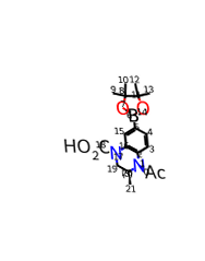 CC(=O)N1c2ccc(B3OC(C)(C)C(C)(C)O3)cc2N(C(=O)O)C[C@@H]1C